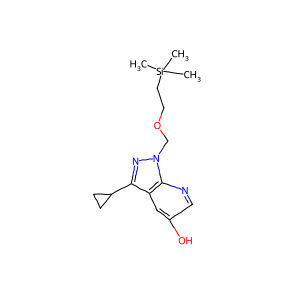 C[Si](C)(C)CCOCn1nc(C2CC2)c2cc(O)cnc21